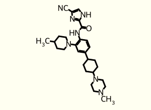 CC1CCN(c2cc(C3CCC(N4CCN(C)CC4)CC3)ccc2NC(=O)c2nc(C#N)c[nH]2)CC1